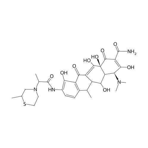 CC1CN(C(C)C(=O)Nc2ccc3c(c2O)C(=O)C2=C(O)[C@]4(O)C(=O)C(C(N)=O)=C(O)[C@@H](N(C)C)C4C(O)C2C3C)CCS1